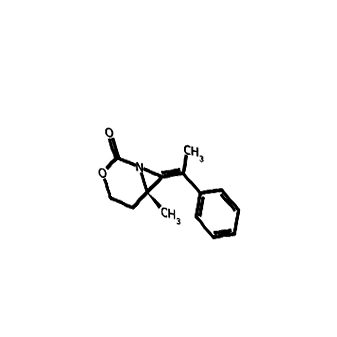 C/C(=C1\N2C(=O)OCC[C@@]12C)c1ccccc1